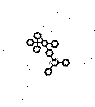 c1ccc(-c2cc(-c3ccccc3)nc(-c3ccc(-c4cc5c(cc4-c4ccccc4)-c4ccccc4C5(c4ccccc4)c4ccccc4)cc3)n2)cc1